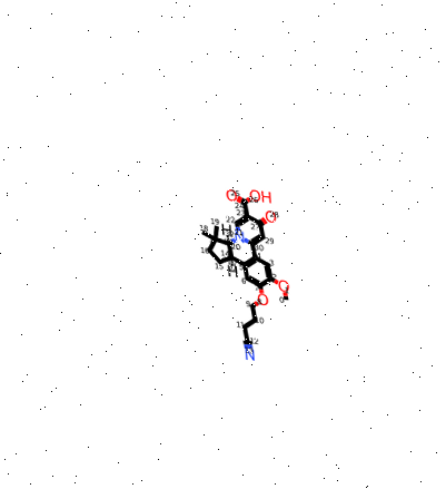 COc1cc2c(cc1OCCCC#N)[C@H]1CCC(C)(C)[C@H]1n1cc(C(=O)O)c(=O)cc1-2